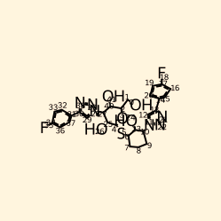 OCC1O[C@@H](S[C@@H]2CCCC(n3cc(-c4ccc(F)cc4)nn3)C2O)C(O)C(n2cc(-c3ccc(F)cc3)nn2)[C@H]1O